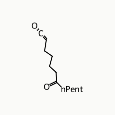 CCCCCC(=O)CCCCC=C=O